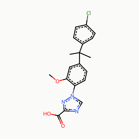 COc1cc(C(C)(C)c2ccc(Cl)cc2)ccc1-n1cnc(C(=O)O)n1